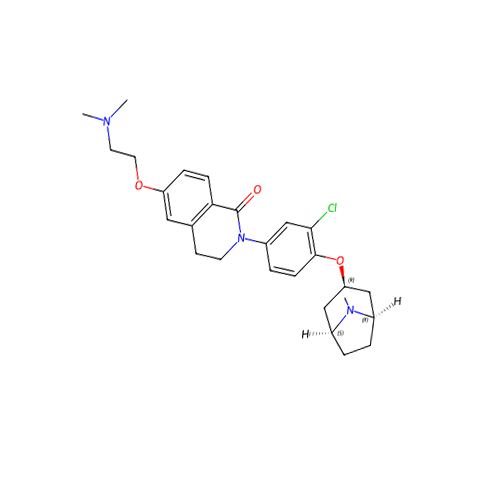 CN(C)CCOc1ccc2c(c1)CCN(c1ccc(O[C@H]3C[C@H]4CC[C@@H](C3)N4C)c(Cl)c1)C2=O